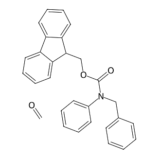 C=O.O=C(OCC1c2ccccc2-c2ccccc21)N(Cc1ccccc1)c1ccccc1